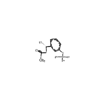 CC[C@@H](CC(=O)OC)c1cccc(S[Si](C(C)C)(C(C)C)C(C)C)c1